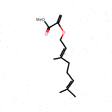 C=C(OC/C=C(\C)CCC=C(C)C)C(=O)OC